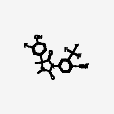 CN1C(=O)N(c2ccc(C#N)c(C(F)(F)F)c2)C(=O)C1(C)c1ccc(O)c(F)c1